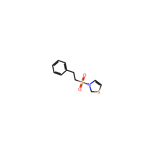 O=S(=O)(CCc1ccccc1)N1C=CSC1